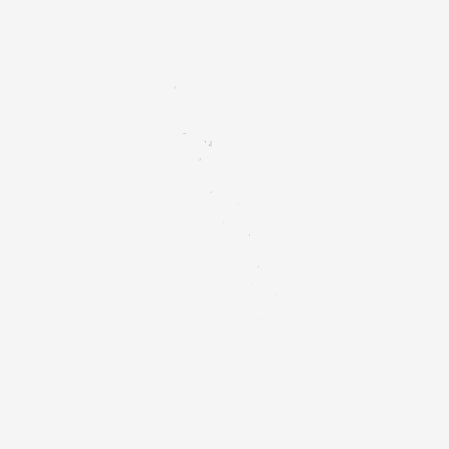 CCOCCOCCOCCOCCC(=O)NCCS(=O)(=O)O